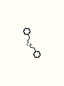 c1ccc(C[CH2][Ca][CH2]Cc2ccccc2)cc1